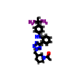 CC(=O)N1CCCC(Cn2nnc(-c3ccccc3Nc3ccc(C(C)(P)P)cc3)n2)C1